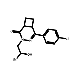 CCC(O)CN1N=C(c2ccc(Cl)cc2)C2CCC2C1=O